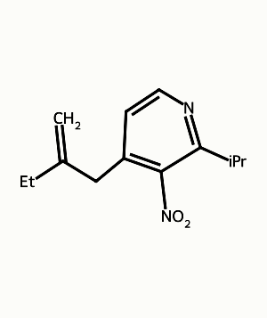 C=C(CC)Cc1ccnc(C(C)C)c1[N+](=O)[O-]